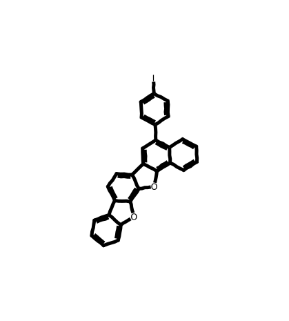 Ic1ccc(-c2cc3c4ccc5c6ccccc6oc5c4oc3c3ccccc23)cc1